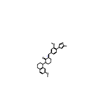 COc1ccc2c(c1)C(N1CCC/C(=C\c3ccc(-n4cnc(C)c4)c(OC)c3)C1=O)CCC2